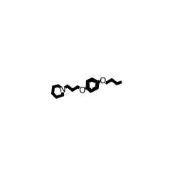 CCCCOc1ccc(OCCCN2CCCCC2)cc1